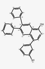 Oc1ncc(-c2cccc(S)c2)c2nc(-c3cc[c]cc3)c(-c3ccccc3)cc12